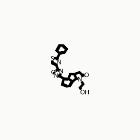 O=C1CC2Cc3c(-c4noc(-c5csc(-c6ccccc6)n5)n4)cccc3C2N1CCO